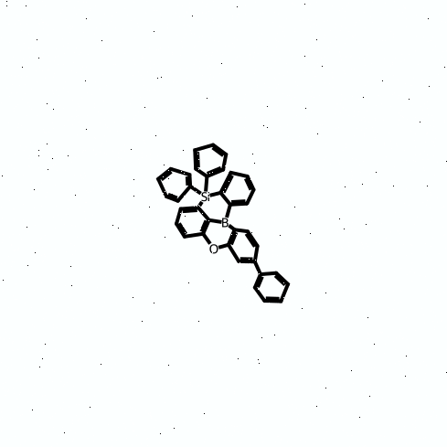 c1ccc(-c2ccc3c(c2)Oc2cccc4c2B3c2ccccc2[Si]4(c2ccccc2)c2ccccc2)cc1